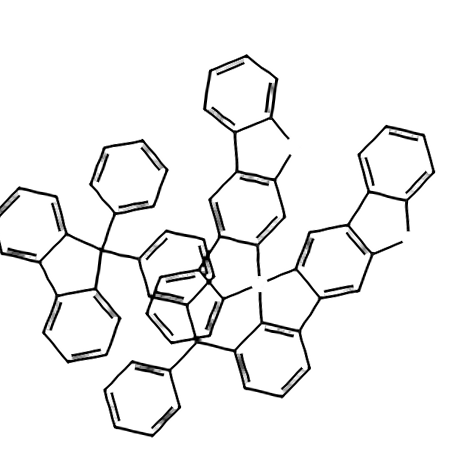 c1ccc(C(c2cccc(C3(c4ccccc4)c4ccccc4-c4ccccc43)c2)c2cccc3c2[Si]2(c4ccccc4-c4cc5c(cc42)oc2ccccc25)c2cc4c(cc2-3)sc2ccccc24)cc1